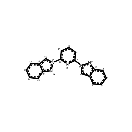 c1cc(-n2cc3ccccc3n2)nc(-n2cc3ccccc3n2)c1